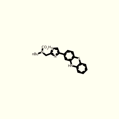 CCCCN(Cc1nc(-c2ccc3c(c2)Nc2ccccc2S3)cs1)C(=O)O